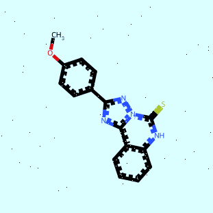 COc1ccc(-c2nc3c4ccccc4[nH]c(=S)n3n2)cc1